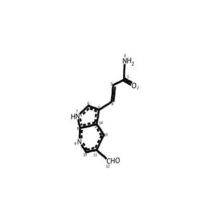 NC(=O)C=Cc1c[nH]c2ncc(C=O)cc12